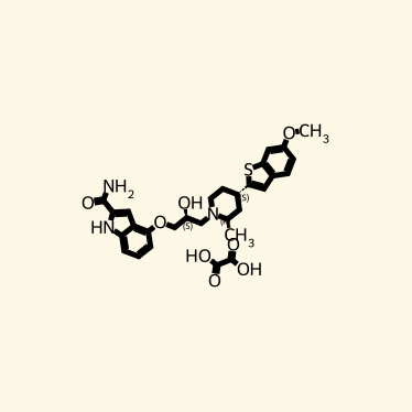 COc1ccc2cc([C@H]3CCN(C[C@H](O)COc4cccc5[nH]c(C(N)=O)cc45)[C@H](C)C3)sc2c1.O=C(O)C(=O)O